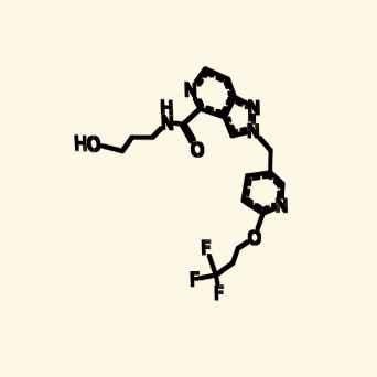 O=C(NCCCO)c1nccc2nn(Cc3ccc(OCCC(F)(F)F)nc3)cc12